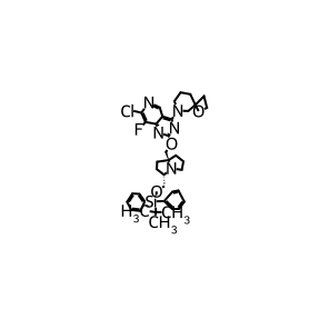 CC(C)(C)[Si](OC[C@@H]1CC[C@]2(COc3nc(N4CCCC5(CCO5)C4)c4cnc(Cl)c(F)c4n3)CCCN12)(c1ccccc1)c1ccccc1